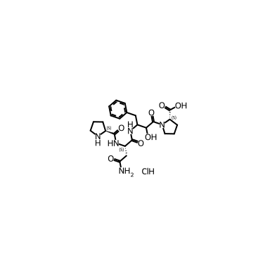 Cl.NC(=O)C[C@H](NC(=O)[C@@H]1CCCN1)C(=O)NC(Cc1ccccc1)C(O)C(=O)N1CCC[C@H]1C(=O)O